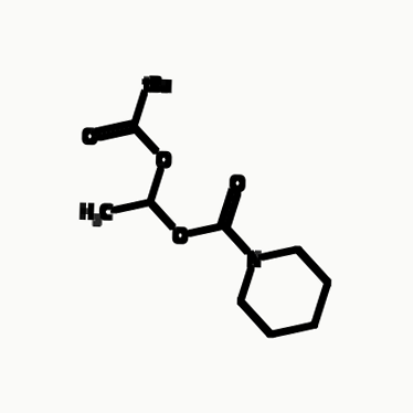 CC(OC(=O)N1CCCCC1)OC(=O)C(C)(C)C